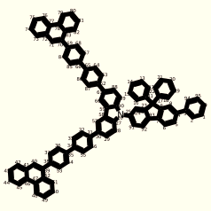 c1ccc(-c2ccc3c(c2)C(c2ccccc2)(c2ccccc2)c2cc(-n4c5ccc(-c6ccc(-c7ccc(-c8cc9ccccc9c9ccccc89)cc7)cc6)cc5c5cc(-c6ccc(-c7ccc(-c8cc9ccccc9c9ccccc89)cc7)cc6)ccc54)ccc2-3)cc1